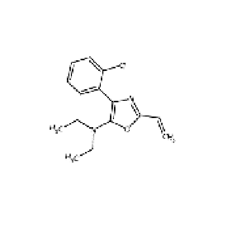 C=Cc1nc(-c2ccccc2Cl)c(N(CC)CC)o1